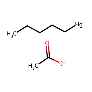 CC(=O)[O-].CCCC[CH2][Hg+]